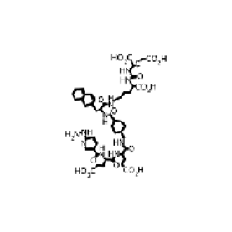 NNc1ccc(C(=O)NC(CCC(=O)O)C(=O)NC(CCC(=O)O)C(=O)NCC2CCC(C(=O)NC(Cc3ccc4ccccc4c3)C(=O)NCCCCC(NC(=O)NC(CCC(=O)O)C(=O)O)C(=O)O)CC2)cn1